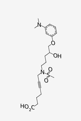 CN(C)c1cccc(OCC(O)CCCN(CC#CCCCC(=O)O)S(C)(=O)=O)c1